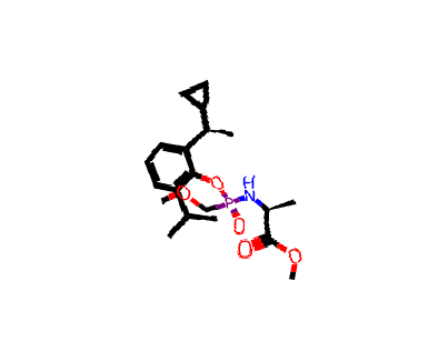 COCP(=O)(N[C@@H](C)C(=O)OC)Oc1c(C(C)C)cccc1[C@H](C)C1CC1